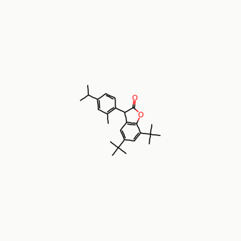 Cc1cc(C(C)C)ccc1C1C(=O)Oc2c1cc(C(C)(C)C)cc2C(C)(C)C